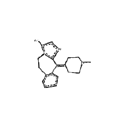 CC(=O)c1cnc2n1CCc1ccccc1C2=C1CCN(C)CC1